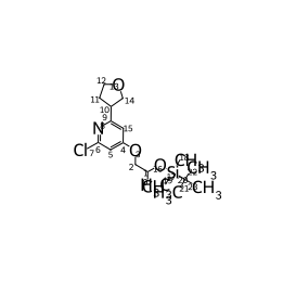 CC(COc1cc(Cl)nc(C2CCOC2)c1)O[Si](C)(C)C(C)(C)C